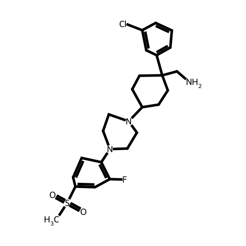 CS(=O)(=O)c1ccc(N2CCN(C3CCC(CN)(c4cccc(Cl)c4)CC3)CC2)c(F)c1